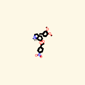 COc1ccc(C[C@]23CCN(C)[C@H]2CC2(CC3)OCC(c3ccc([N+](=O)[O-])cc3)O2)cc1OC